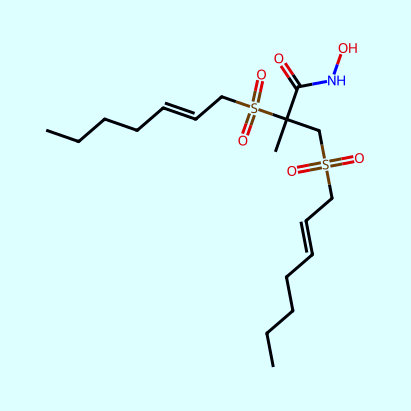 CCCCC=CCS(=O)(=O)CC(C)(C(=O)NO)S(=O)(=O)CC=CCCCC